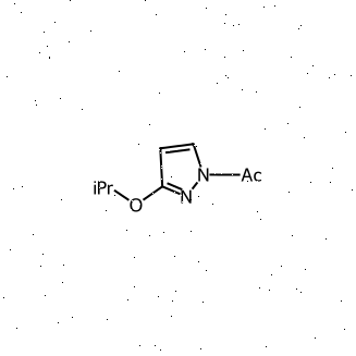 CC(=O)n1ccc(OC(C)C)n1